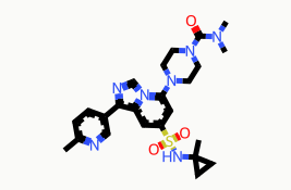 Cc1ccc(-c2ncn3c(N4CCN(C(=O)N(C)C)CC4)cc(S(=O)(=O)NC4(C)CC4)cc23)cn1